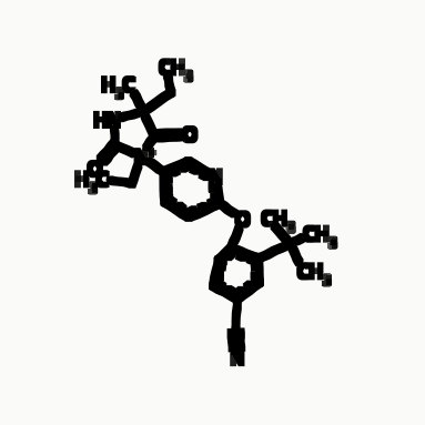 CCC1(C)NC(=O)[N+](CC)(c2ccc(Oc3ccc(C#N)cc3C(C)(C)C)nc2)C1=O